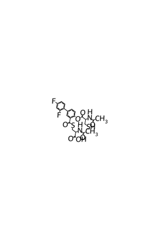 CC(=O)NC(CSC(=O)c1cc(-c2ccc(F)cc2F)ccc1OC(=O)C(CS)NC(C)=O)C(=O)O